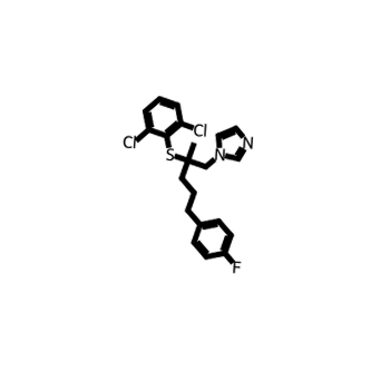 CC(CCCc1ccc(F)cc1)(Cn1ccnc1)Sc1c(Cl)cccc1Cl